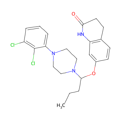 CCCC(Oc1ccc2c(c1)NC(=O)CC2)N1CCN(c2cccc(Cl)c2Cl)CC1